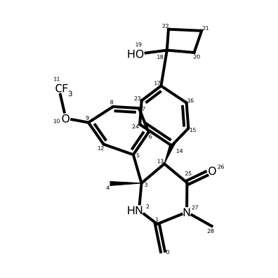 C=C1N[C@](C)(c2cccc(OC(F)(F)F)c2)[C@@H](c2ccc(C3(O)CCC3)cc2)C(=O)N1C